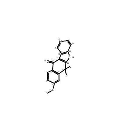 COc1ccc2c(c1)C(C)(C)c1oc3ccncc3c1C2=O